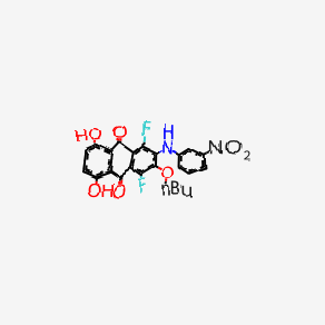 CCCCOc1c(F)c2c(c(F)c1Nc1cccc([N+](=O)[O-])c1)C(=O)c1c(O)ccc(O)c1C2=O